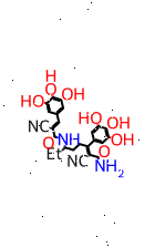 CCC(CCC(=C(C#N)C(N)=O)c1cc(O)c(O)c(O)c1)NC(=O)C(C#N)=Cc1cc(O)c(O)c(O)c1